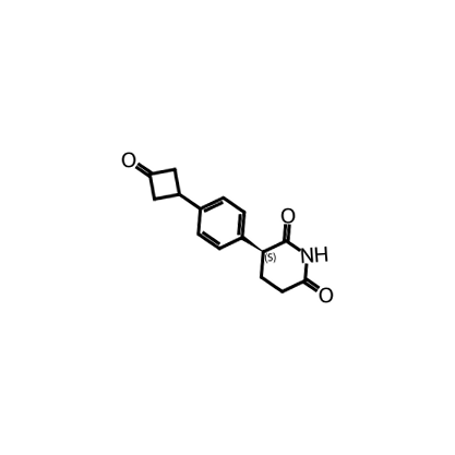 O=C1CC(c2ccc([C@@H]3CCC(=O)NC3=O)cc2)C1